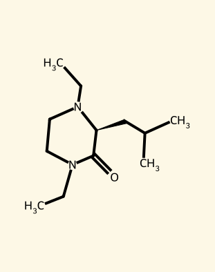 CCN1CCN(CC)[C@@H](CC(C)C)C1=O